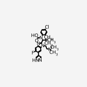 CN(C)CCn1c(C(N(C(=O)O)c2ccc(Cl)cc2)C(C)(C)C)nc2cc(F)c(-c3cn[nH]c3)cc21